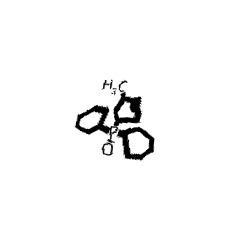 Cc1cccc(P(=O)(C2CCCCC2)C2CCCCC2)c1